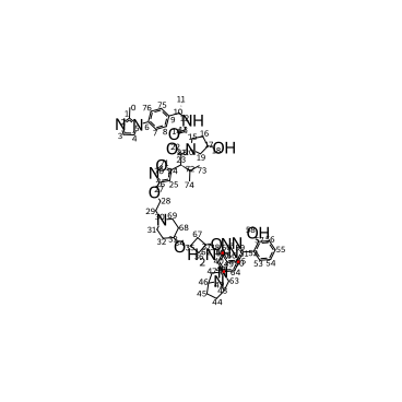 Cc1nccn1-c1ccc([C@H](C)NC(=O)[C@@H]2C[C@@H](O)CN2C(=O)[C@H](c2cc(OCCN3CCC(O[C@H]4C[C@H](Oc5cc(N6C7CCC6CN(c6cc(-c8ccccc8O)nnc6N)C7)ccn5)C4)CC3)no2)C(C)C)cc1